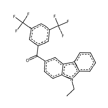 CCn1c2ccccc2c2cc(C(=O)c3cc(C(F)(F)F)cc(C(F)(F)F)c3)ccc21